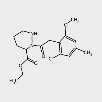 CCOC(=O)C1CCCNN1C(=O)Cc1c(Cl)cc(C)cc1OC